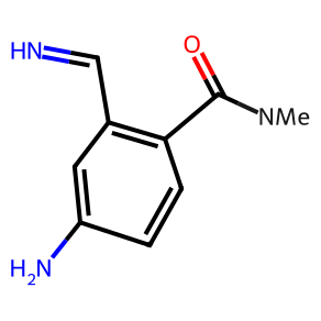 CNC(=O)c1ccc(N)cc1C=N